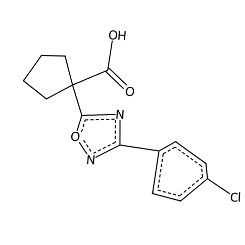 O=C(O)C1(c2nc(-c3ccc(Cl)cc3)no2)CCCC1